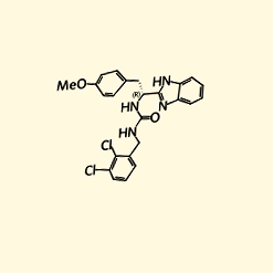 COc1ccc(C[C@@H](NC(=O)NCc2cccc(Cl)c2Cl)c2nc3ccccc3[nH]2)cc1